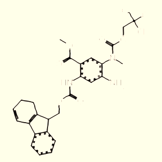 COC(=O)c1cc(N(C)C(=O)OCC(Cl)(Cl)Cl)c(N)cc1NC(=O)OCC1C2=C(C=CCC2)c2ccccc21